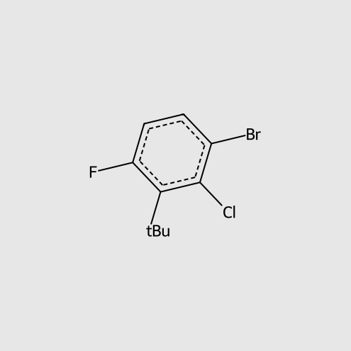 CC(C)(C)c1c(F)ccc(Br)c1Cl